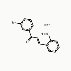 O=C(C=Cc1ccccc1C(=O)[O-])c1cccc(Br)c1.[Na+]